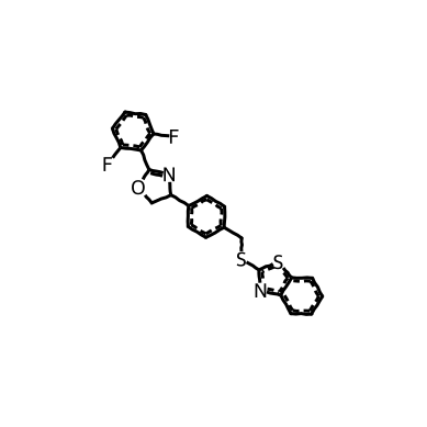 Fc1cccc(F)c1C1=NC(c2ccc(CSc3nc4ccccc4s3)cc2)CO1